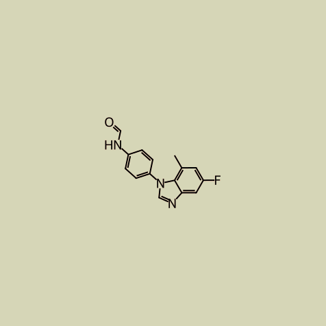 Cc1cc(F)cc2ncn(-c3ccc(NC=O)cc3)c12